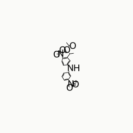 CC(=O)OC(C)c1cc(Nc2cccc([N+](=O)[O-])c2)ccc1[N+](=O)[O-]